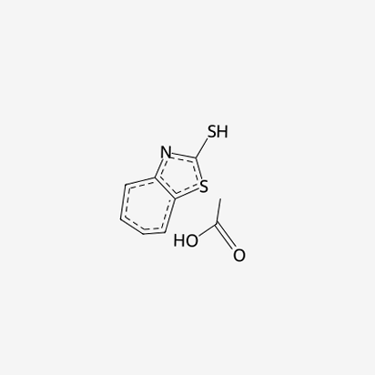 CC(=O)O.Sc1nc2ccccc2s1